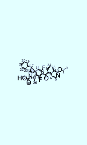 CCOc1nccc2c(C(=O)c3c(F)cc(OCc4ccccc4)c(C(C)NC(=O)O)c3F)cccc12